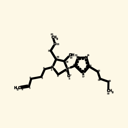 C=CCCCN1C[N+]([O-])(c2nnc(CCCC)s2)C(O)C1COC